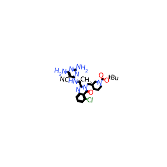 C[C@H](Nc1nc(N)nc(N)c1C#N)c1nc2cccc(Cl)c2c(=O)n1CC1CCCN(C(=O)OC(C)(C)C)C1